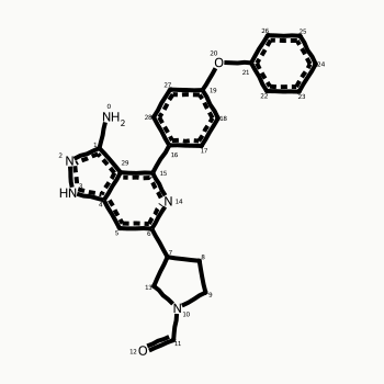 Nc1n[nH]c2cc(C3CCN(C=O)C3)nc(-c3ccc(Oc4ccccc4)cc3)c12